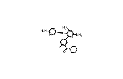 Cc1nc(N)nc(-c2ccc(F)c(C(=O)N3CCCCC3)c2)c1C#Cc1ccc(N)nc1